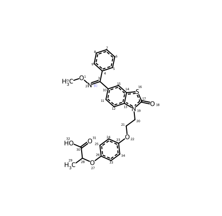 CO/N=C(\c1ccccc1)c1ccc2c(c1)sc(=O)n2CCOc1ccc(OC(C)C(=O)O)cc1